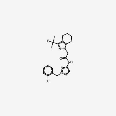 O=C(Cn1nc(C(F)(F)F)c2c1CCCC2)Nc1ccn(Cc2ccccc2F)n1